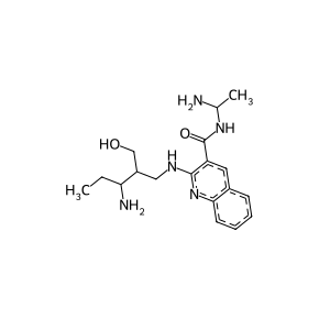 CCC(N)C(CO)CNc1nc2ccccc2cc1C(=O)NC(C)N